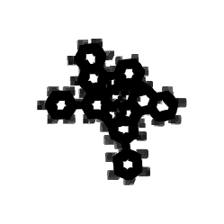 BC1=C2c3cccc(-c4c(C)ccc5ccccc45)c3-c3cc(-c4ccccc4)cc4c5cc(-c6ccccc6)cc6c(c1n(c34)c65)C1C=CC=CC21